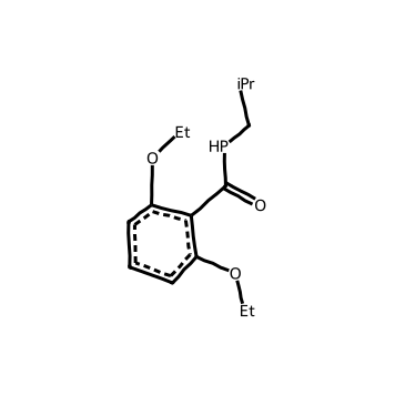 CCOc1cccc(OCC)c1C(=O)PCC(C)C